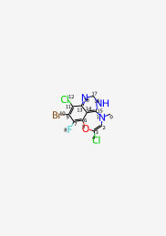 CN1C=C(Cl)Oc2c(F)c(Br)c(Cl)c3c2=C1NCN=3